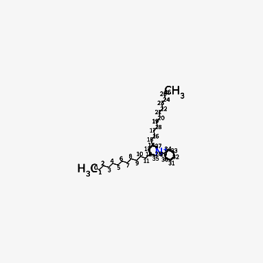 CCCCCCCCCCCCc1cc(CCCCCCCCCCCC)c[n+](-c2ccccc2)c1